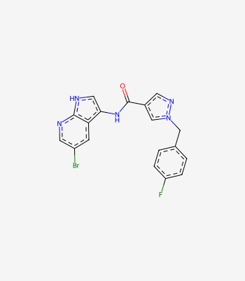 O=C(Nc1c[nH]c2ncc(Br)cc12)c1cnn(Cc2ccc(F)cc2)c1